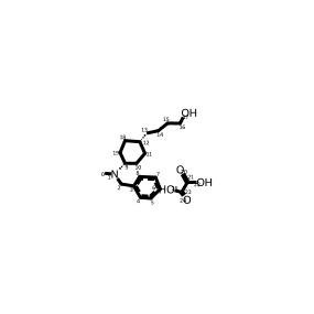 CN(Cc1ccccc1)[C@H]1CC[C@@H](CCCCO)CC1.O=C(O)C(=O)O